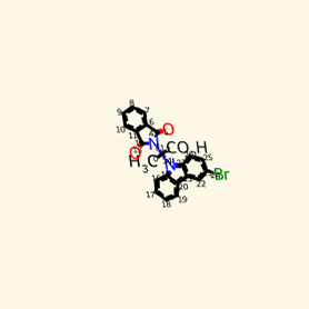 CC(C(=O)O)(N1C(=O)c2ccccc2C1=O)n1c2ccccc2c2cc(Br)ccc21